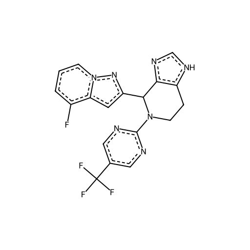 Fc1cccn2nc(C3c4nc[nH]c4CCN3c3ncc(C(F)(F)F)cn3)cc12